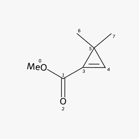 COC(=O)C1=CC1(C)C